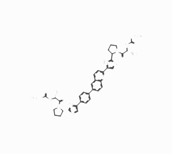 COC(=O)N[C@H](C(=O)N1C[C@@H](C)CC1c1ncc(-c2ccc3cc(-c4ccc(-c5cnc([C@@H]6C[C@H](C)CN6C(=O)[C@@H](NC(=O)OC)C(C)C)[nH]5)cc4)ccc3n2)[nH]1)C(C)C